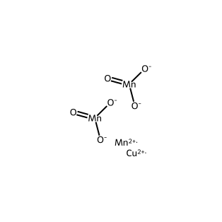 [Cu+2].[Mn+2].[O]=[Mn]([O-])[O-].[O]=[Mn]([O-])[O-]